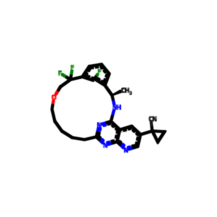 C[C@H]1Nc2nc(nc3ncc(C4(C#N)CC4)cc23)CCCCCOCC(F)(F)c2cccc1c2F